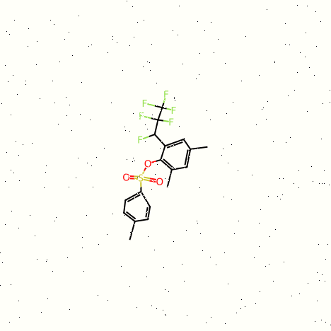 Cc1ccc(S(=O)(=O)Oc2c(C)cc(C)cc2C(F)C(F)(F)C(F)(F)F)cc1